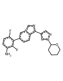 Nc1ccc(F)c(-c2ccc3c(-c4cnn(C5CCCCO5)n4)ncn3c2)c1F